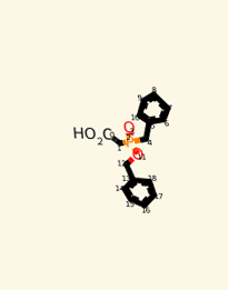 O=C(O)CP(=O)(Cc1ccccc1)OCc1ccccc1